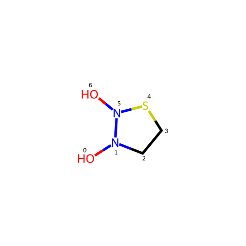 ON1CCSN1O